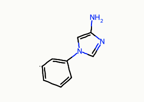 Nc1cn(-c2c[c]ccc2)cn1